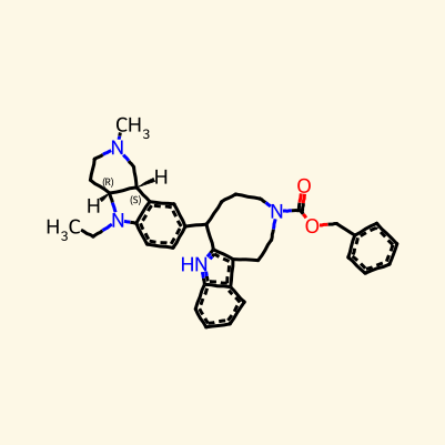 CCN1c2ccc(C3CCCN(C(=O)OCc4ccccc4)CCc4c3[nH]c3ccccc43)cc2[C@H]2CN(C)CC[C@H]21